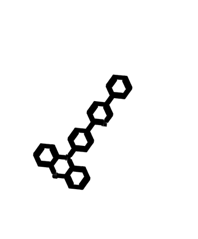 c1ccc(-c2ccc(-c3ccc(N4c5ccccc5Oc5ccccc54)cc3)nc2)cc1